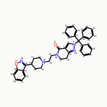 O=C1c2cn(C(c3ccccc3)(c3ccccc3)c3ccccc3)nc2CCN1CCN1CCC(c2noc3ccccc23)CC1